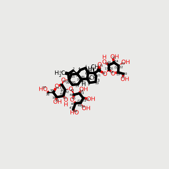 C=C1C[C@@]23CC[C@H]4[C@@](C)(CCC[C@@]4(C)C(=O)O[C@@H]4OC(CO)[C@@H](O)C(O)C4O)[C@@H]2CC[C@]1(O[C@@H]1O[C@H](CO)C(O)C(O)[C@H]1O[C@@H]1OC(CO)[C@@H](O)C(O)C1O)C3